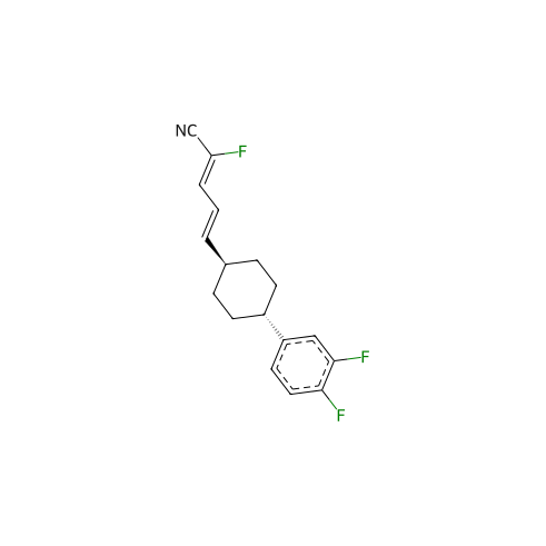 N#CC(F)=CC=C[C@H]1CC[C@H](c2ccc(F)c(F)c2)CC1